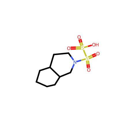 O=S(=O)(O)S(=O)(=O)N1CCC2CCCCC2C1